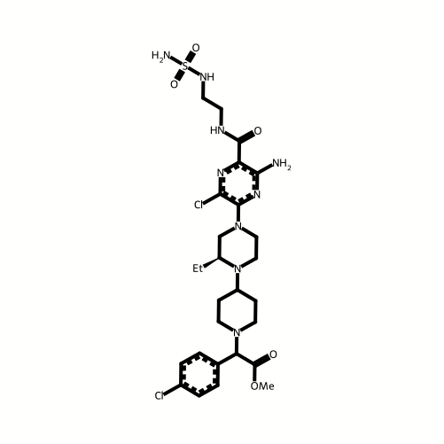 CC[C@H]1CN(c2nc(N)c(C(=O)NCCNS(N)(=O)=O)nc2Cl)CCN1C1CCN(C(C(=O)OC)c2ccc(Cl)cc2)CC1